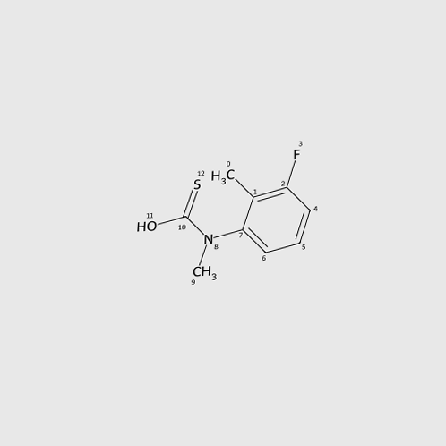 Cc1c(F)cccc1N(C)C(O)=S